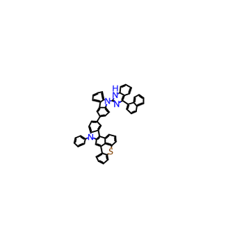 C1=CC2=C(c3cccc4ccccc34)N=C(n3c4ccccc4c4cc(-c5ccc6c(c5)c5c7cccc8c7c(cc5n6-c5ccccc5)-c5ccccc5S8)ccc43)NC2C=C1